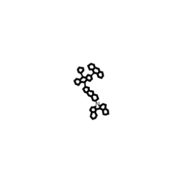 c1ccc(-c2c3ccccc3c(-c3ccc4cc5cc(-n6c7ccc8ccccc8c7c7c8ccccc8ccc76)ccc5cc4c3)c3ccc(-c4c5ccccc5cc5ccccc45)cc23)cc1